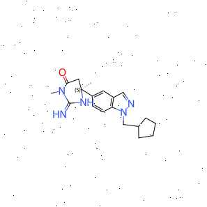 CN1C(=N)N[C@](C)(c2ccc3c(cnn3CC3CCCC3)c2)CC1=O